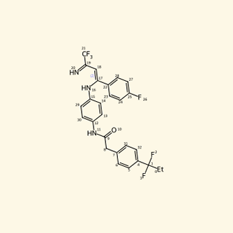 CCC(F)(F)c1ccc(CC(=O)Nc2ccc(N/C(=C\C(=N)C(F)(F)F)c3ccc(F)cc3)cc2)cc1